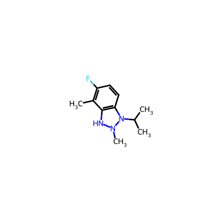 Cc1c(F)ccc2c1NN(C)N2C(C)C